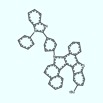 CC(C)(C)c1ccc2sc3c4ccccc4c4c(c3c2c1)c1c2ccccc2ccc1n4-c1ccc(-c2nc3ccccc3n2-c2ccccc2)cc1